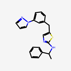 CC(Nc1ncc(Cc2cccc(-n3cccn3)c2)s1)c1ccccc1